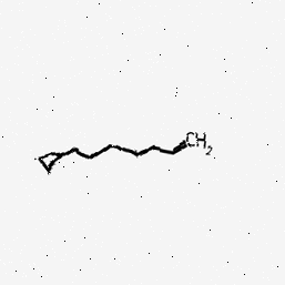 C=CCCCCCC1[CH]C1